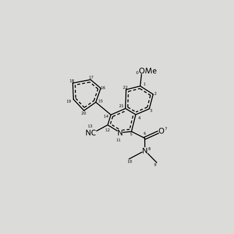 COc1ccc2c(C(=O)N(C)C)nc(C#N)c(-c3ccccc3)c2c1